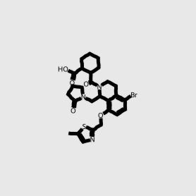 Cc1cnc(COc2ccc(Br)c3c2C(CN2CCCC2=O)N(C(=O)C2CCCCC2C(=O)O)CC3)s1